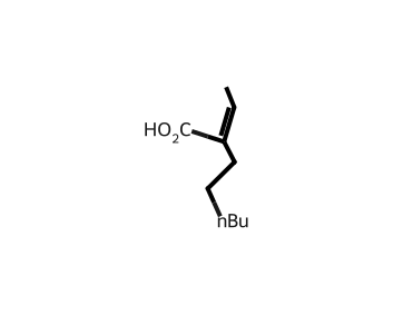 C/C=C(/CCCCCC)C(=O)O